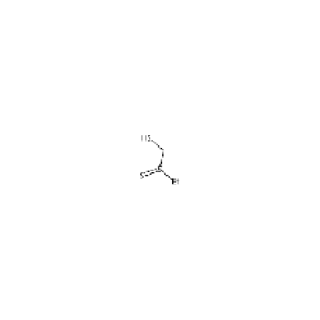 CCS(=S)CS